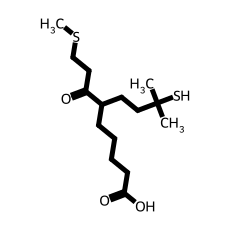 CSCCC(=O)C(CCCCC(=O)O)CCC(C)(C)S